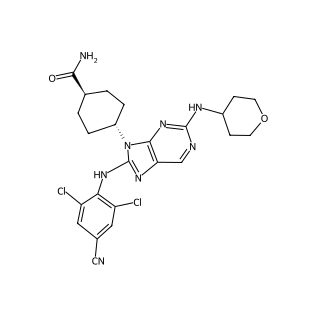 N#Cc1cc(Cl)c(Nc2nc3cnc(NC4CCOCC4)nc3n2[C@H]2CC[C@H](C(N)=O)CC2)c(Cl)c1